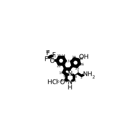 Cl.NCC[C@H]1CNC(=O)c2cc(-c3cccc(OC(F)(F)F)c3)c(-c3ccc(O)cc3)n21